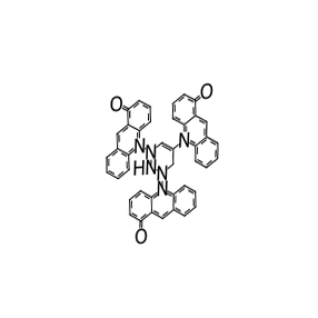 O=c1cccc2n(C3=CN(n4c5cccc(=O)c-5cc5ccccc54)NN(n4c5cccc(=O)c-5cc5ccccc54)C3)c3ccccc3cc1-2